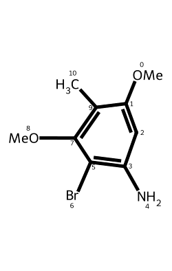 COc1cc(N)c(Br)c(OC)c1C